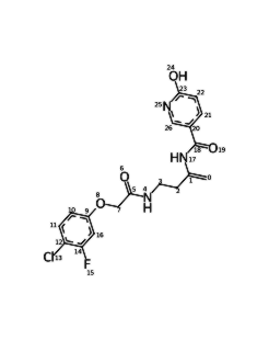 C=C(CCNC(=O)COc1ccc(Cl)c(F)c1)NC(=O)c1ccc(O)nc1